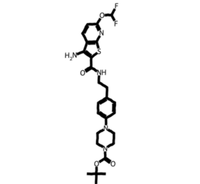 CC(C)(C)OC(=O)N1CCN(c2ccc(CCNC(=O)c3sc4nc(OC(F)F)ccc4c3N)cc2)CC1